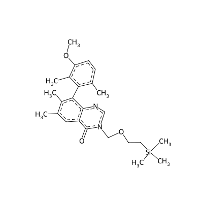 COc1ccc(C)c(-c2c(C)c(C)cc3c(=O)n(COCC[Si](C)(C)C)cnc23)c1C